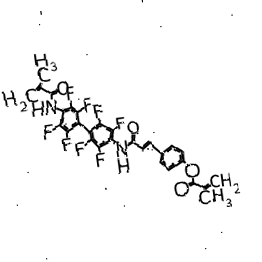 C=C(C)C(=O)Nc1c(F)c(F)c(-c2c(F)c(F)c(NC(=O)/C=C/c3ccc(OC(=O)C(=C)C)cc3)c(F)c2F)c(F)c1F